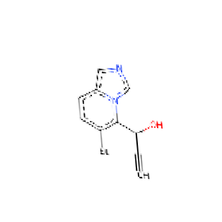 C#CC(O)c1c(CC)ccc2cncn12